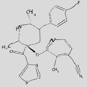 Cc1c(C#N)ccnc1O[C@]1(C(=O)c2cscn2)CC(c2ccc(F)cc2)[C@@H](C)NC1C